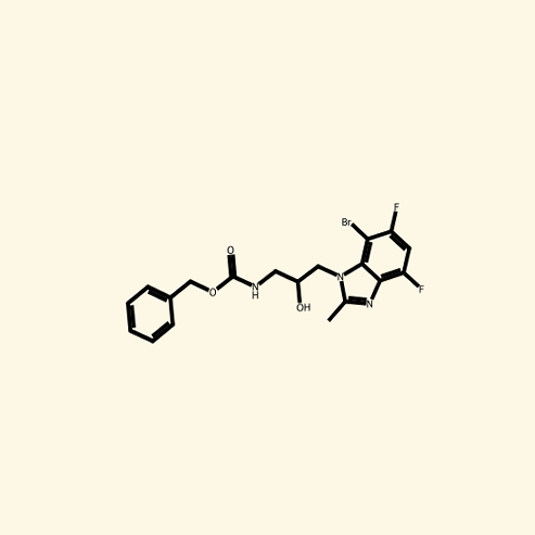 Cc1nc2c(F)cc(F)c(Br)c2n1CC(O)CNC(=O)OCc1ccccc1